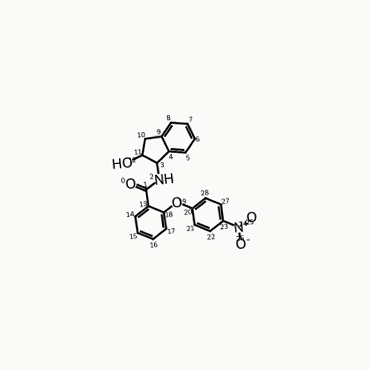 O=C(NC1c2ccccc2CC1O)c1ccccc1Oc1ccc([N+](=O)[O-])cc1